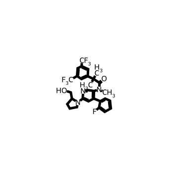 CN(C(=O)C(C)(C)c1cc(C(F)(F)F)cc(C(F)(F)F)c1)c1cnc(N2CCCC2CO)cc1-c1ccccc1F